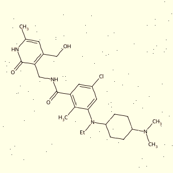 CCN(c1cc(Cl)cc(C(=O)NCc2c(CO)cc(C)[nH]c2=O)c1C)C1CCC(N(C)C)CC1